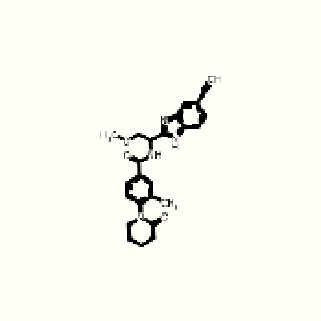 C#Cc1ccc2[nH]c(C(COC)NC(=O)c3ccc(N4CCCCC4=O)c(C)c3)nc2c1